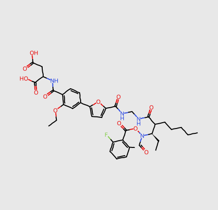 CCCCCC(C(=O)NCNC(=O)c1ccc(-c2ccc(C(=O)NC(CC(=O)O)C(=O)O)c(OCC)c2)o1)[C@@H](CC)N(C=O)OC(=O)c1c(C)cccc1F